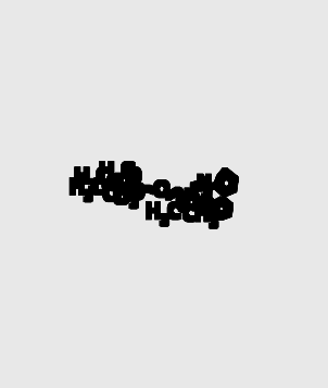 COC(OCCOCCN(c1cnc(-c2ccccc2)c(-c2ccccc2)n1)C(C)C)C(=O)OC(C)(C)C